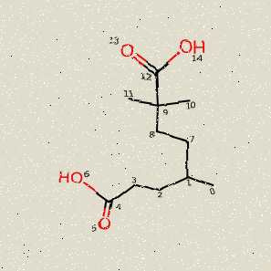 CC(CCC(=O)O)CCC(C)(C)C(=O)O